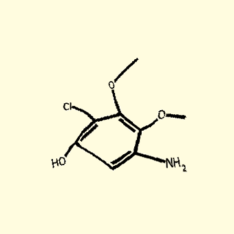 COc1c(N)cc(O)c(Cl)c1OC